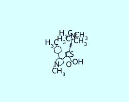 CCN1CCC(c2cc(C#CC(C)(C)N(C)C)sc2C(=O)O)=C(C2CCC(C)CC2)C1